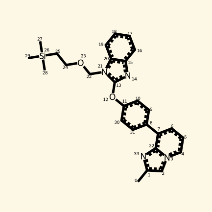 Cc1cn2cccc(-c3ccc(Oc4nc5ccccc5n4COCC[Si](C)(C)C)cc3)c2n1